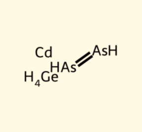 [AsH]=[AsH].[Cd].[GeH4]